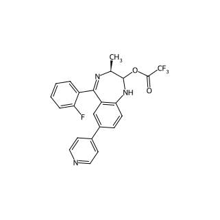 C[C@@H]1N=C(c2ccccc2F)c2cc(-c3ccncc3)ccc2NC1OC(=O)C(F)(F)F